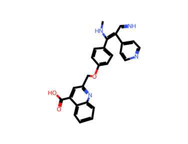 CN/C(=C(\C=N)c1ccncc1)c1ccc(OCc2cc(C(=O)O)c3ccccc3n2)cc1